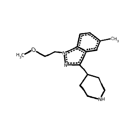 COCCn1nc(C2CCNCC2)c2cc(C)ccc21